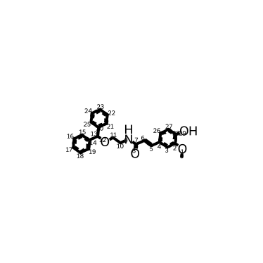 COc1cc(C=CC(=O)NCCOC(c2ccccc2)c2ccccc2)ccc1O